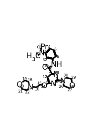 CC(C)N(C)c1cccc(NC(=O)c2cc(OCCN3CCOCC3)nc(N3CCOCC3)n2)c1